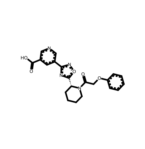 O=C(O)c1cncc(-c2noc([C@H]3CCCCN3C(=O)COc3ccccc3)n2)c1